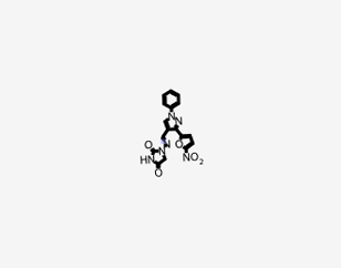 O=C1CN(/N=C/c2cn(-c3ccccc3)nc2-c2ccc([N+](=O)[O-])o2)C(=O)N1